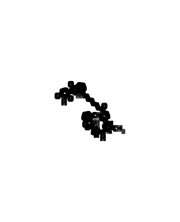 Cc1nc(Nc2ncc(C(=O)Nc3c(C)cccc3Cl)s2)cc(N2CCN(C(=O)CCCCCCNc3cccc4c3CN(C3CCC(=O)NC3=O)C4=O)CC2)n1